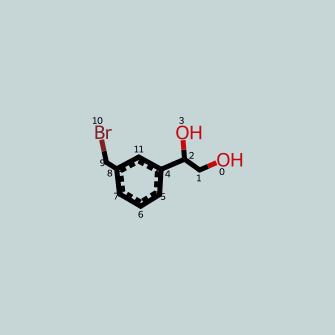 OCC(O)c1cccc(CBr)c1